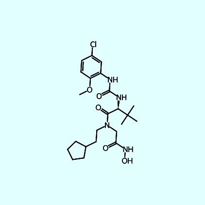 COc1ccc(Cl)cc1NC(=O)N[C@H](C(=O)N(CCC1CCCC1)CC(=O)NO)C(C)(C)C